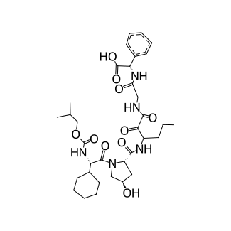 CCCC(NC(=O)[C@@H]1C[C@@H](O)CN1C(=O)[C@@H](NC(=O)OCC(C)C)C1CCCCC1)C(=O)C(=O)NCC(=O)N[C@H](C(=O)O)c1ccccc1